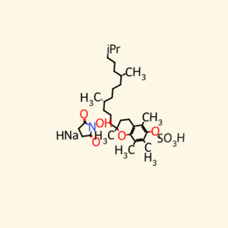 Cc1c(C)c2c(c(C)c1OS(=O)(=O)O)CC[C@@](C)(CCC[C@H](C)CCC[C@H](C)CCCC(C)C)O2.O=C1CCC(=O)N1O.[NaH]